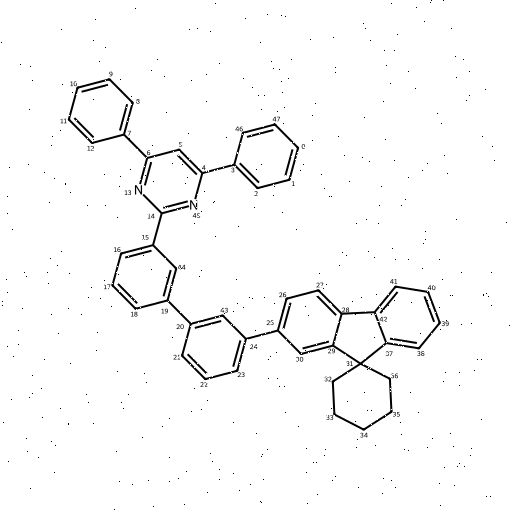 c1ccc(-c2cc(-c3ccccc3)nc(-c3cccc(-c4cccc(-c5ccc6c(c5)C5(CCCCC5)c5ccccc5-6)c4)c3)n2)cc1